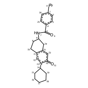 CC(C)c1ccc(C(=O)NC2CCc3nn(C4CCCCC4)c(=O)cc3C2)cc1